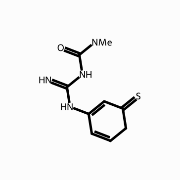 CNC(=O)NC(=N)NC1=CC(=S)CC=C1